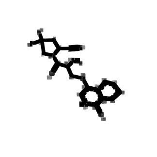 N#CC1CC(F)(F)CN1C(=O)C(N)COc1c[nH]c(=O)c2ccccc12